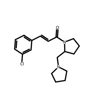 O=C(C=Cc1cccc(Cl)c1)N1CCCC1CN1CCCC1